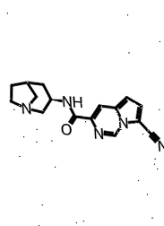 N#Cc1ccc2cc(C(=O)N[C@@H]3CC4CCN(C4)C3)ncn12